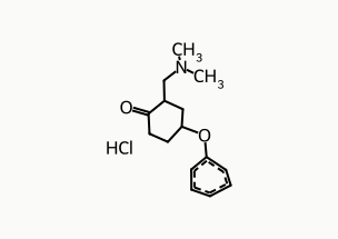 CN(C)CC1CC(Oc2ccccc2)CCC1=O.Cl